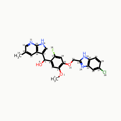 COc1cc(C(O)c2c[nH]c3ncc(C)cc23)c(F)cc1OCc1nc2cc(Cl)ccc2[nH]1